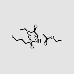 CCOC(=O)C[C@H](NS(=O)(=O)CCCI)C(=O)OCC